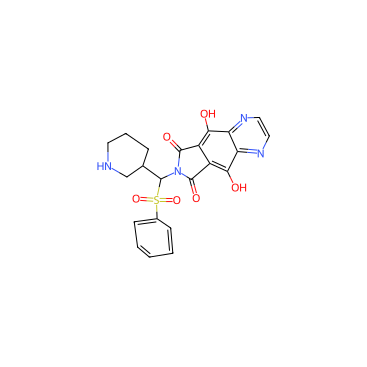 O=C1c2c(c(O)c3nccnc3c2O)C(=O)N1C(C1CCCNC1)S(=O)(=O)c1ccccc1